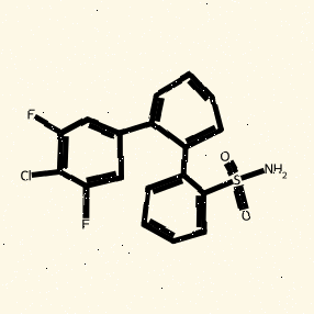 NS(=O)(=O)c1ccccc1-c1ccccc1-c1cc(F)c(Cl)c(F)c1